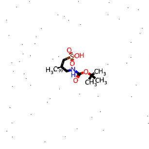 C[C@H](CNC(=O)OC(C)(C)C)CS(=O)(=O)O